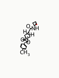 Cc1ccc(S(=O)(=O)N2C[C@@H]3C(C(=O)NC45CC(C4)C5)[C@@H]3C2)cc1